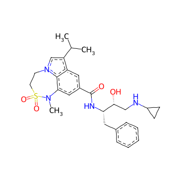 CC(C)c1cn2c3c(cc(C(=O)N[C@@H](Cc4ccccc4)[C@H](O)CNC4CC4)cc13)N(C)S(=O)(=O)CC2